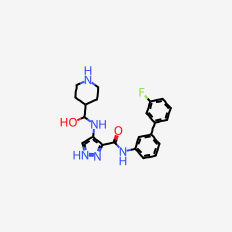 O=C(Nc1cccc(-c2cccc(F)c2)c1)c1n[nH]cc1NC(O)C1CCNCC1